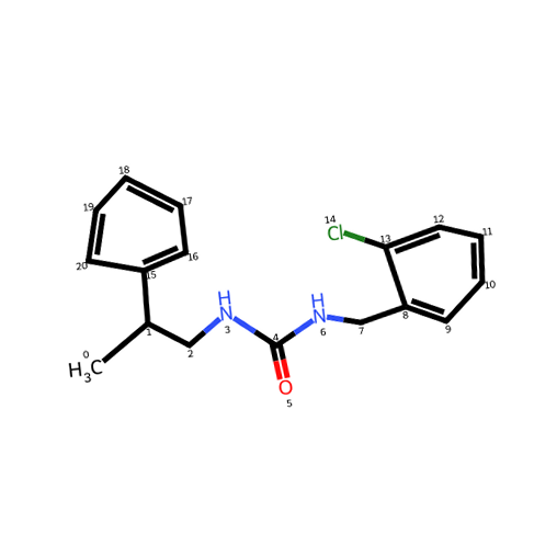 CC(CNC(=O)NCc1ccccc1Cl)c1ccccc1